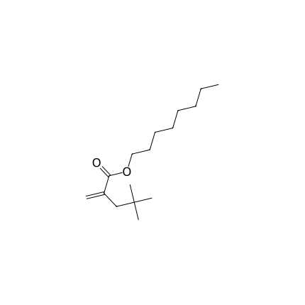 C=C(CC(C)(C)C)C(=O)OCCCCCCCC